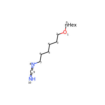 CCCCCCOCCCCCCN=C=N